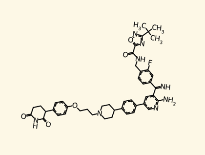 CC(C)(C)c1noc(C(=O)NCc2ccc(C(=N)c3cc(-c4ccc(C5CCN(CCCOc6ccc(C7CCC(=O)NC7=O)cc6)CC5)cc4)cnc3N)cc2F)n1